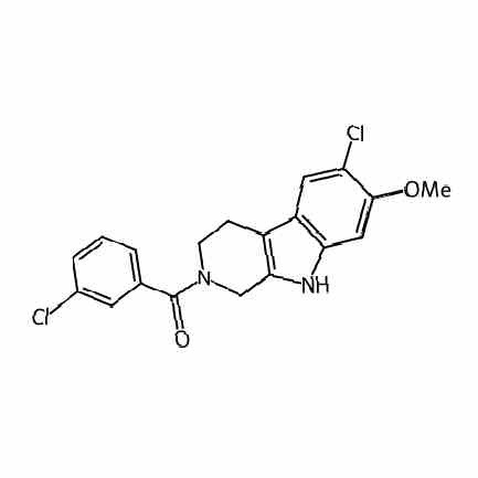 COc1cc2[nH]c3c(c2cc1Cl)CCN(C(=O)c1cccc(Cl)c1)C3